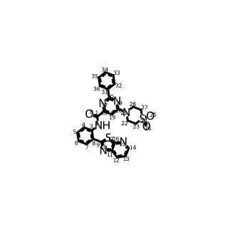 O=C(Nc1ccccc1-c1nc2cccnc2s1)c1cc(N2CCS(=O)(=O)CC2)nc(-c2ccccc2)n1